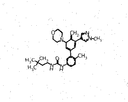 C=C1C(c2cnn(C)c2)=CC(c2cc(NC(=O)NCCC(C)(C)C)ccc2C)=CC1N1CCOCC1